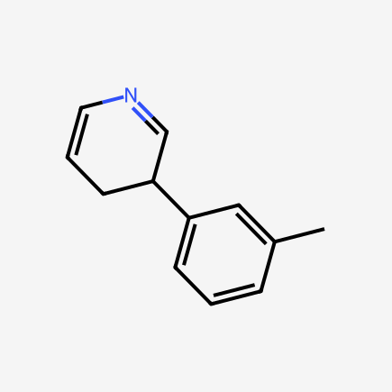 Cc1cccc(C2C=NC=CC2)c1